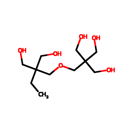 CCC(CO)(CO)COCC(CO)(CO)CO